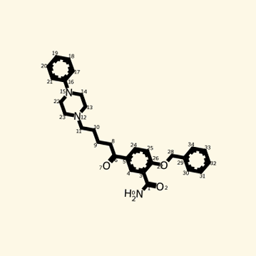 NC(=O)c1cc(C(=O)CCCCN2CCN(c3ccccc3)CC2)ccc1OCc1ccccc1